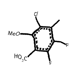 COc1c(Cl)c(C)c(F)c(F)c1C(=O)O